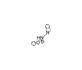 O=C(COc1ccccc1)NCCCN1CCc2ccccc2C1